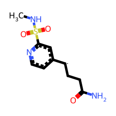 CNS(=O)(=O)c1cc([CH]CCC(N)=O)ccn1